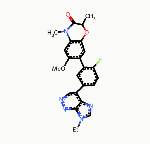 CCn1cnc2c(-c3ccc(F)c(-c4cc5c(cc4OC)N(C)C(=O)C(C)O5)c3)cnnc21